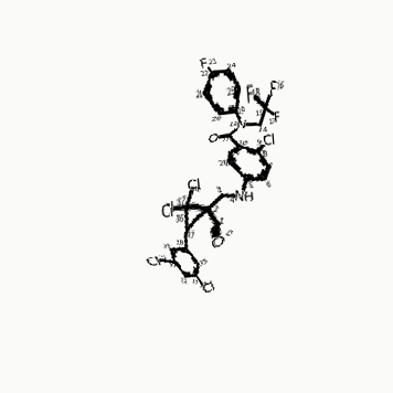 O=CC1(CNc2ccc(Cl)c(C(=O)N(CC(F)(F)F)c3ccc(F)cc3)c2)C(c2cc(Cl)cc(Cl)c2)C1(Cl)Cl